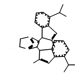 CC1=Cc2c(C(C)C)cccc2[CH]1[Zr+2]1([CH]2C(C)=Cc3c(C(C)C)cccc32)=[Si]2CC[Si]=1CC2.[Cl-].[Cl-]